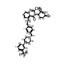 Cc1nc2cccc(NCc3ccc(CN4CCN(c5cccc(C(F)(F)F)c5)CC4)cc3)c2c(=O)n1C1CCC(=O)NC1=O